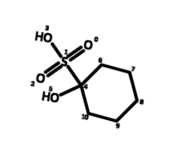 O=S(=O)(O)C1(O)CCCCC1